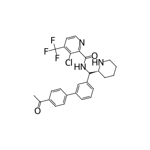 CC(=O)c1ccc(-c2cccc(C(NC(=O)c3nccc(C(F)(F)F)c3Cl)[C@@H]3CCCCN3)c2)cc1